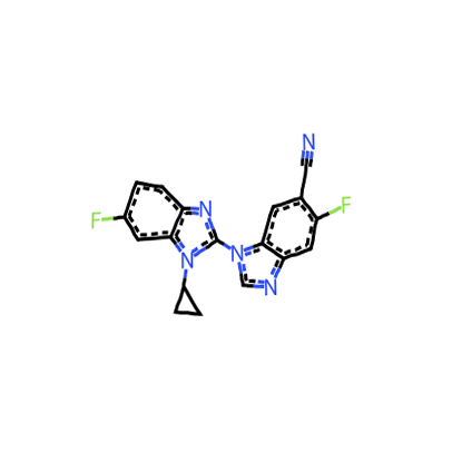 N#Cc1cc2c(cc1F)ncn2-c1nc2ccc(F)cc2n1C1CC1